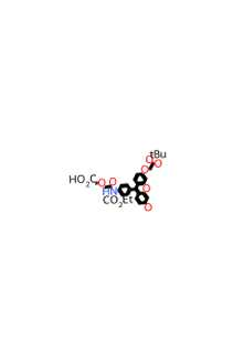 CCOC(=O)c1cc(NC(=O)COCC(=O)O)ccc1-c1c2ccc(=O)cc-2oc2cc(OCC(=O)OC(C)(C)C)ccc12